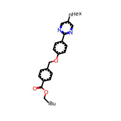 CCCCCCc1cnc(-c2ccc(OCc3ccc(C(=O)OCC(C)CC)cc3)cc2)nc1